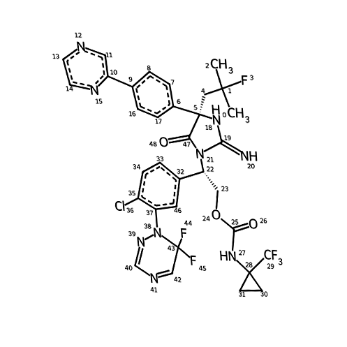 CC(C)(F)C[C@]1(c2ccc(-c3cnccn3)cc2)NC(=N)N([C@H](COC(=O)NC2(C(F)(F)F)CC2)c2ccc(Cl)c(N3N=CN=CC3(F)F)c2)C1=O